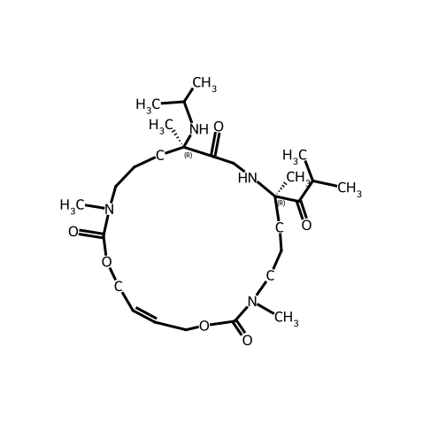 CC(C)N[C@]1(C)CCCN(C)C(=O)OCC=CCOC(=O)N(C)CCC[C@](C)(C(=O)C(C)C)NCC1=O